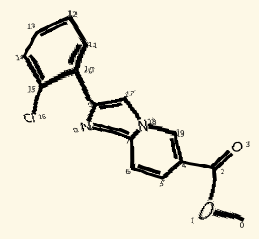 COC(=O)c1ccc2nc(-c3ccccc3Cl)cn2c1